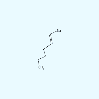 CCCCC=[CH][Na]